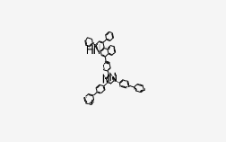 C1=CCCC(C2C=C(c3ccccc3)c3c(cc(-c4ccc(-c5nc(-c6ccc(-c7ccccc7)cc6)cc(-c6ccc(-c7ccccc7)cc6)n5)cc4)c4ccccc34)N2)=C1